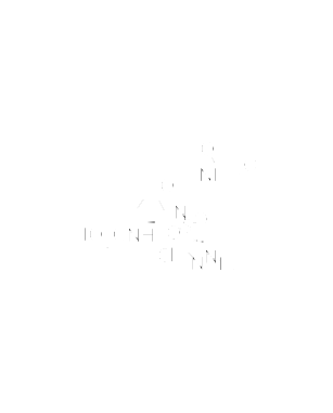 CCn1cc(S(=O)(=O)N2CC(CNC(=O)C3COC3)Oc3ccc(NC(=O)O)cc32)c(Cl)n1